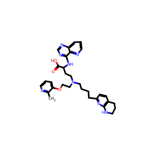 Cc1ncccc1OCCN(CCCCc1ccc2c(n1)NCCC2)CCC(Nc1ncnc2cccnc12)C(=O)O